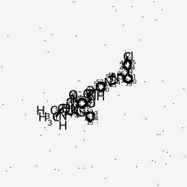 CC(C)(C)NC(=O)C[C@H](CSc1ccccc1)Nc1ccc(S(=O)(=O)NC(=O)c2ccc(N3CCN(Cc4ccccc4-c4ccc(Cl)cc4)CC3)cc2)cc1[N+](=O)[O-]